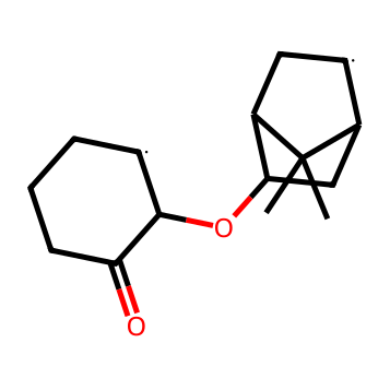 CC1(C)C2[CH]CC1C(OC1[CH]CCCC1=O)C2